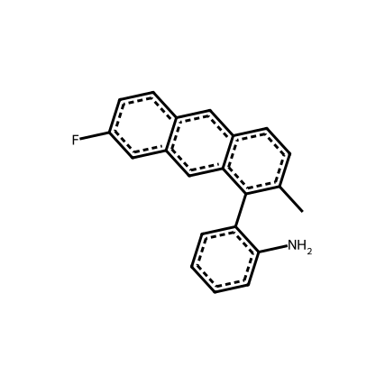 Cc1ccc2cc3ccc(F)cc3cc2c1-c1ccccc1N